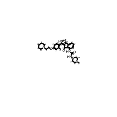 Cc1cc(OCCN2CCCCC2)ccc1-c1[nH]nc2c1C(=O)c1c(NC(=O)NN3CCN(C)CC3)cccc1-2